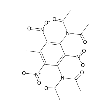 CC(=O)N(C(C)=O)c1c([N+](=O)[O-])c(C)c([N+](=O)[O-])c(N(C(C)=O)C(C)=O)c1[N+](=O)[O-]